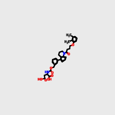 Cc1cccc(OCCCC(=O)N2CCCc3c(-c4cccc(COC(=O)NC(CC(=O)O)C(=O)O)c4)cccc32)c1C